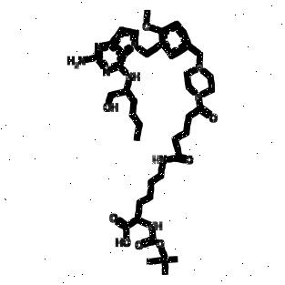 CCCCC(CO)Nc1nc(N)nc2ccn(Cc3cc(CN4CCN(C(=O)CCCC(=O)NCCCCC(NC(=O)OC(C)(C)C)C(=O)O)CC4)ccc3OC)c12